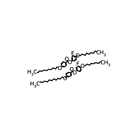 CCCCCCCCCCCCOc1ccc(C(=O)Oc2ccc(OCCCCCCCCC)c(F)c2)cc1.CCCCCCCCCCCOc1ccc(C(=O)Oc2ccc(OCCCCCCCCC)c(F)c2)cc1